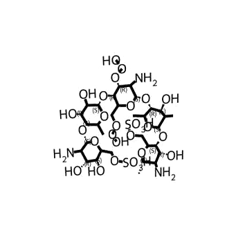 CC1O[C@@H](O[C@@H]2C(COOO)O[C@@H](O[C@H]3C(C)O[C@@H](O[C@@H]4C(COS(=O)(=O)O)O[C@@H](C)C(N)[C@H]4O)C(C)[C@@H]3O)C(N)[C@H]2OOO)C(O)[C@@H](O)[C@@H]1O[C@@H]1OC(COS(=O)(=O)O)[C@@H](O)[C@H](O)C1N